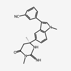 CN1C(=N)N[C@](C)(c2ccc3c(c2)c(-c2cccc(C#N)c2)cn3C)CC1=O